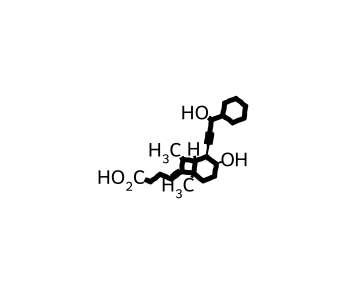 CC1C(=CCCC(=O)O)[C@@]2(C)CC[C@@H](O)[C@H](C#CC(O)C3CCCCC3)[C@@H]12